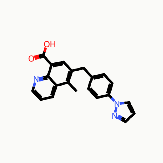 Cc1c(Cc2ccc(-n3cccn3)cc2)cc(C(=O)O)c2ncccc12